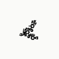 COCc1nc2c(C(=O)Nc3cccc(Cl)c3C)cc(NC(=O)c3ccc(C(F)(F)F)cc3C)cc2[nH]1